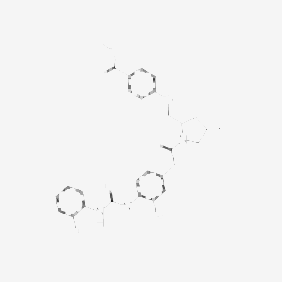 COC(=O)c1ccc(OCC2C[C@H](F)CN2C(=O)Cc2ccc(NC(=O)Nc3ccccc3Br)c(Br)c2)cc1